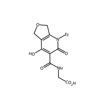 CCn1c2c(c(O)c(C(=O)NCC(=O)O)c1=O)COC2